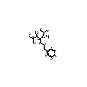 CC(C)NC(CCCc1ccccc1)C(=O)C(C)C